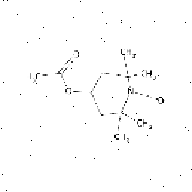 CC(=O)OC1CC(C)(C)N([O])C(C)(C)C1